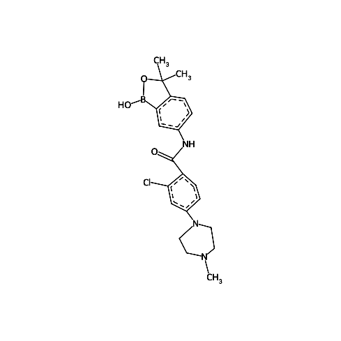 CN1CCN(c2ccc(C(=O)Nc3ccc4c(c3)B(O)OC4(C)C)c(Cl)c2)CC1